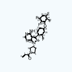 C=CC(=O)N1CC[C@@H](n2nc(-c3ccc(Oc4c(F)c(F)cc(F)c4F)cc3F)c3c(N)ncnc32)C1